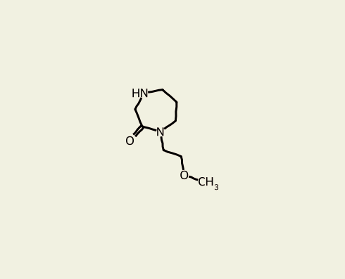 COCCN1CCCNCC1=O